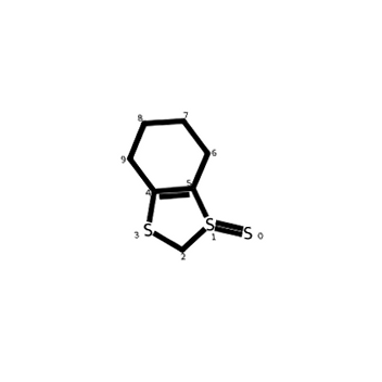 S=S1CSC2=C1CCCC2